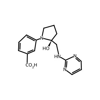 O=C(O)c1cccc(N2CCC[C@]2(O)CNc2ncccn2)c1